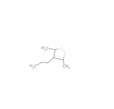 CCCC1C(C)SSC1C